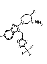 N[C@@H]1CN(c2nc3cc(F)ccc3n2Cc2nc(C(F)(F)F)no2)CCC1F